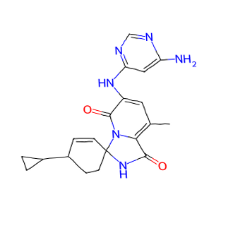 Cc1cc(Nc2cc(N)ncn2)c(=O)n2c1C(=O)NC21C=CC(C2CC2)CC1